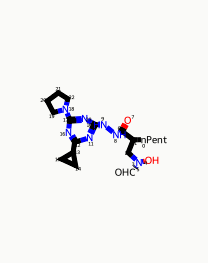 CCCCCC(CN(O)C=O)C(=O)NNc1nc(C2CC2)nc(N2CCCC2)n1